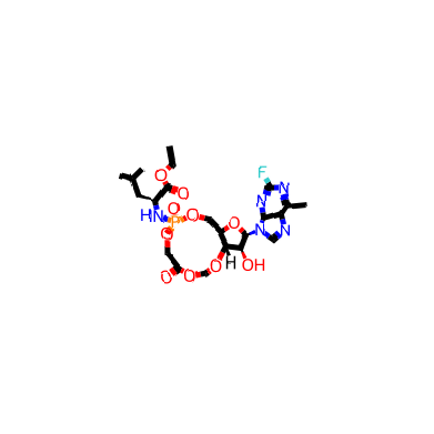 CCOC(=O)[C@H](CC(C)C)NP1(=O)OCC(=O)OCO[C@@H]2C(CO1)O[C@@H](N1C=NC3C(C)=NC(F)=NC31)[C@H]2O